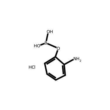 Cl.Nc1ccccc1OB(O)O